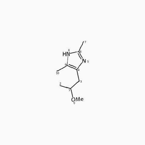 COC(C)Cc1nc(C)[nH]c1C